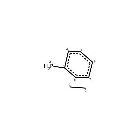 CC.Pc1ccccc1